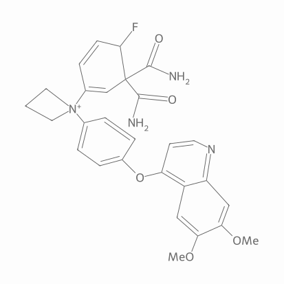 COc1cc2nccc(Oc3ccc([N+]4(C5=CC(C(N)=O)(C(N)=O)C(F)C=C5)CCC4)cc3)c2cc1OC